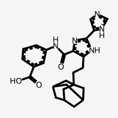 O=C(O)c1cccc(NC(=O)c2nc(-c3cnc[nH]3)[nH]c2CCC23CC4CC(CC(C4)C2)C3)c1